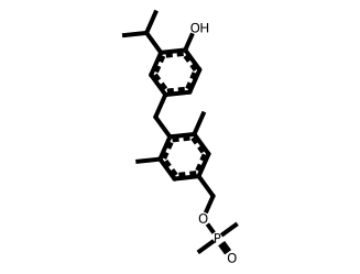 Cc1cc(COP(C)(C)=O)cc(C)c1Cc1ccc(O)c(C(C)C)c1